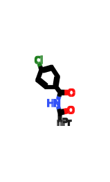 CCCC(=O)NC(=O)c1ccc(Cl)cc1